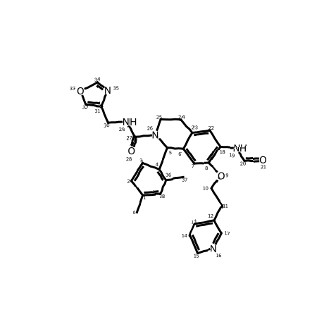 Cc1ccc(C2c3cc(OCCc4cccnc4)c(NC=O)cc3CCN2C(=O)NCc2cocn2)c(C)c1